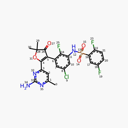 Cc1cc(C2=C(c3cc(Cl)cc(NS(=O)(=O)c4cc(F)ccc4F)c3F)C(=O)C(C)(C)O2)nc(N)n1